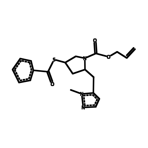 C=CCOC(=O)N1CC(SC(=O)c2ccccc2)CC1Cc1ccnn1C